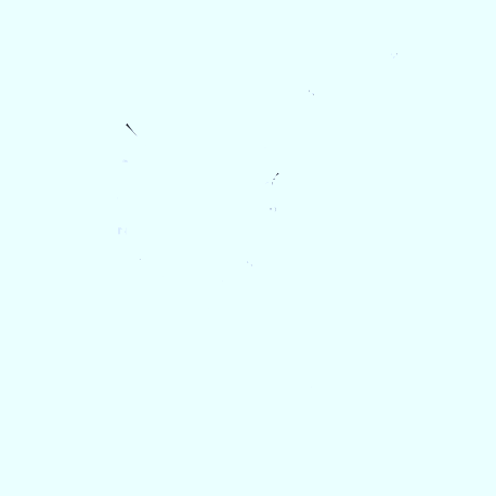 COCCN(C)S(=O)(=O)C[C@]1(O)CCC[C@H](C)[C@@H](C)S(=O)(=O)NC(=O)c2ccc3c(c2)N(CCCCc2cc(Cl)ccc2CO3)C[C@@H]2CC[C@H]21